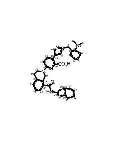 CN(C)c1ccccc1Cn1cc(-c2ccc(N3CCc4cccc(C(=O)Nc5nc6ccccc6s5)c4C3)nc2C(=O)O)cn1